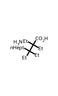 CCCCCCCC(CC)(CC)C(CC)(CC)C(=O)O.N